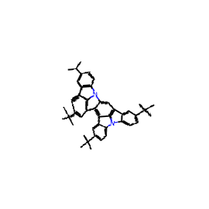 CC(C)c1ccc2c(c1)c1cc(C(C)(C)C)cc3c4c5c6cc(C(C)(C)C)ccc6n6c7ccc(C(C)(C)C)cc7c(cc4n2c13)c56